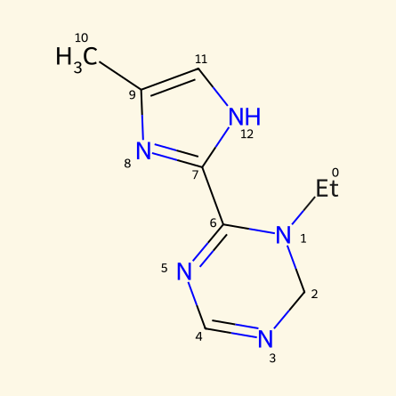 CCN1CN=CN=C1c1nc(C)c[nH]1